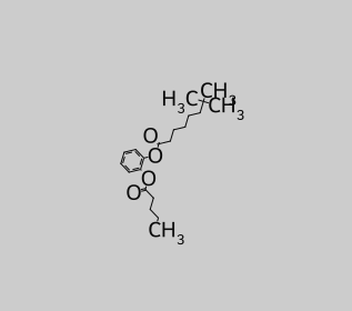 CCCCC(=O)Oc1ccccc1OC(=O)CCCCCC(C)(C)C